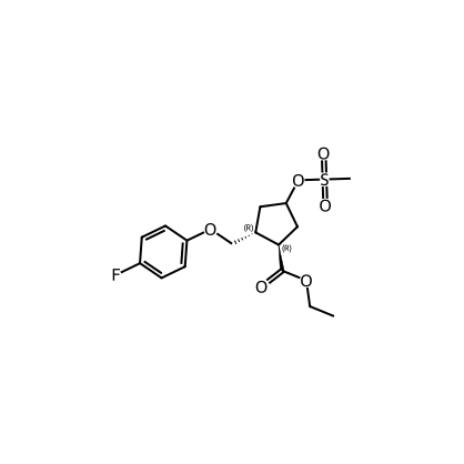 CCOC(=O)[C@@H]1CC(OS(C)(=O)=O)C[C@H]1COc1ccc(F)cc1